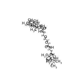 CCCC(C)(C)N[C@@H](CCCCNC(=O)COCCOCCNC(=O)C(C)CC(C)(C)NC(=O)C(C)(C)CC(C)(C)C)C(=O)C(C)(C)C